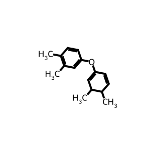 Cc1ccc(OC2=CC(C)C(C)C=C2)cc1C